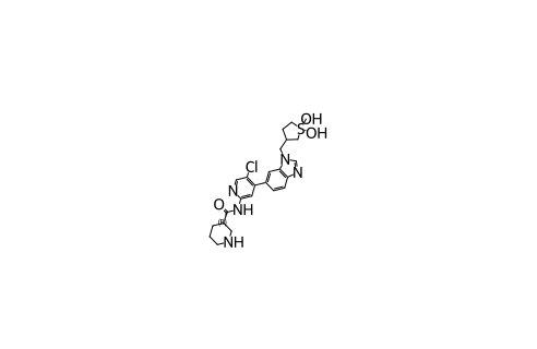 O=C(Nc1cc(-c2ccc3ncn(CC4CCS(O)(O)C4)c3c2)c(Cl)cn1)[C@@H]1CCCNC1